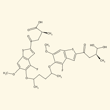 COc1cc2sc(C(=O)C[C@H](C)C(=O)O)cc2c(F)c1OC(C)CCC(C)Oc1c(OC)cc2sc(C(=O)C[C@H](C)C(O)O)cc2c1F